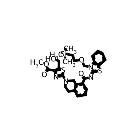 COC(=O)c1nc(N2CCc3cccc(C(=O)N=c4sc5ccccc5n4COCC[Si](C)(C)C)c3C2)sc1CO